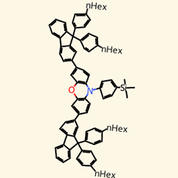 CCCCCCc1ccc(C2(c3ccc(CCCCCC)cc3)c3ccccc3-c3ccc(-c4ccc5c(c4)Oc4cc(-c6ccc7c(c6)C(c6ccc(CCCCCC)cc6)(c6ccc(CCCCCC)cc6)c6ccccc6-7)ccc4N5c4ccc([Si](C)(C)C)cc4)cc32)cc1